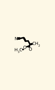 C=C(CC=CC#N)C(=O)OCC